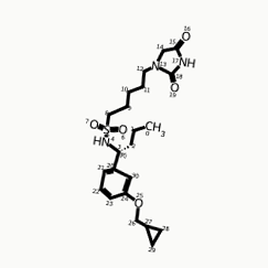 CCC[C@@H](NS(=O)(=O)CCCCCN1CC(=O)NC1=O)c1cccc(OCC2CC2)c1